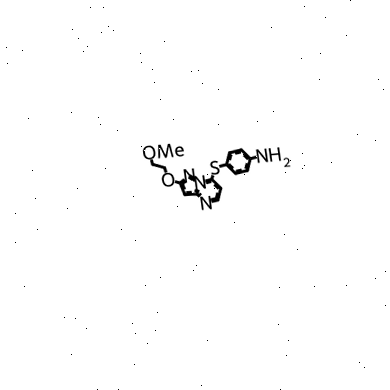 COCCOc1cc2nccc(Sc3ccc(N)cc3)n2n1